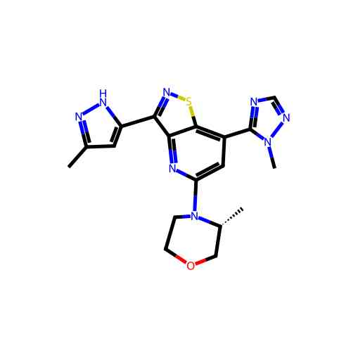 Cc1cc(-c2nsc3c(-c4ncnn4C)cc(N4CCOC[C@H]4C)nc23)[nH]n1